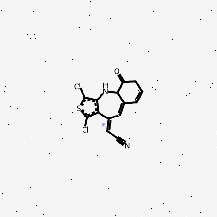 N#C/C=C1\C=C2C=CCC(=O)C2Nc2c(Cl)sc(Cl)c21